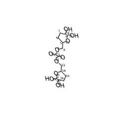 O=S(=O)(OCC1CCS(O)(O)O1)OCC1CCS(O)(O)O1